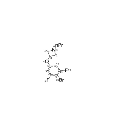 CCCN1CC(Oc2cc(F)c(Br)c(F)c2)C1